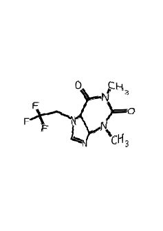 CN1C(=O)C2C(N=CN2CC(F)(F)F)N(C)C1=O